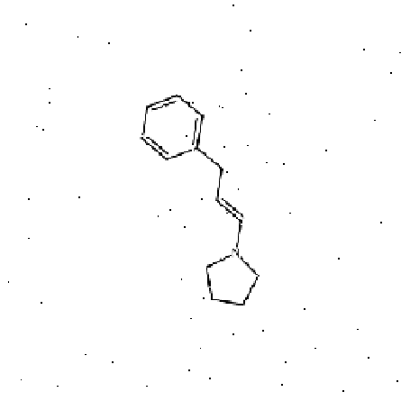 C(=CN1CCCC1)Cc1ccccc1